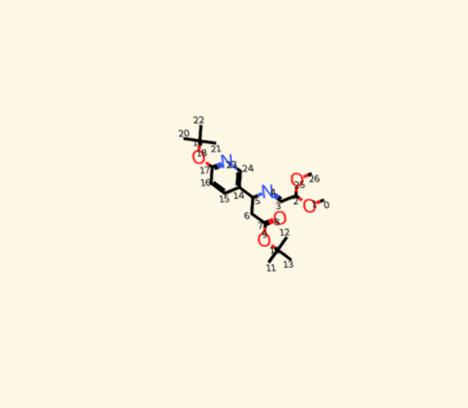 COC(/C=N/C(CC(=O)OC(C)(C)C)c1ccc(OC(C)(C)C)nc1)OC